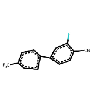 N#Cc1ccc(-c2ccc(C(F)(F)F)cc2)cc1F